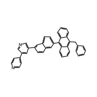 c1ccc(Cc2c3ccccc3c(-c3ccc4cc(-c5cncc(-c6ccncc6)c5)ccc4c3)c3ccccc23)cc1